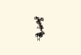 CC(=O)N1CCc2c(C3CCOCC3)nn(-c3cccc4cc(-c5ccc(C(=O)NCCC#Cc6cccc7c6CN(C6CCC(=O)NC6=O)C7=O)nc5)ncc34)c2C1